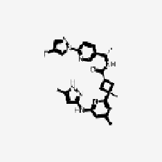 Cc1cc(Nc2cc(C)[nH]n2)nc([C@]2(C)C[C@@H](C(=O)N[C@@H](C)c3ccc(-n4cc(F)cn4)nc3)C2)c1